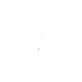 O=C1OC[C@H]2CCCCN12